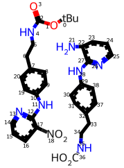 CC(C)(C)OC(=O)NCCc1ccc(Nc2ncccc2[N+](=O)[O-])cc1.Nc1cccnc1Nc1ccc(CCNC(=O)O)cc1